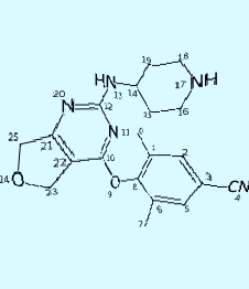 Cc1cc(C#N)cc(C)c1Oc1nc(NC2CCNCC2)nc2c1COC2